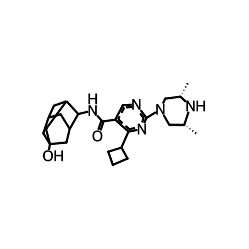 C[C@@H]1CN(c2ncc(C(=O)NC3C4CC5CC3CC(O)(C5)C4)c(C3CCC3)n2)C[C@H](C)N1